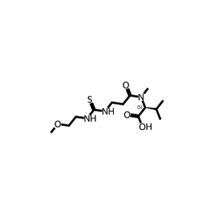 COCCNC(=S)NCCC(=O)N(C)[C@H](C(=O)O)C(C)C